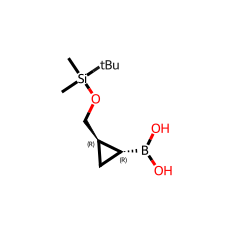 CC(C)(C)[Si](C)(C)OC[C@@H]1C[C@H]1B(O)O